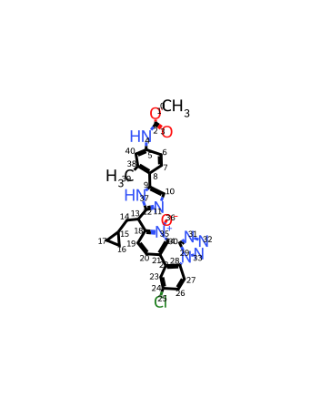 COC(=O)Nc1ccc(-c2cnc(C(CC3CC3)c3ccc(-c4cc(Cl)ccc4-n4cnnn4)c[n+]3[O-])[nH]2)c(C)c1